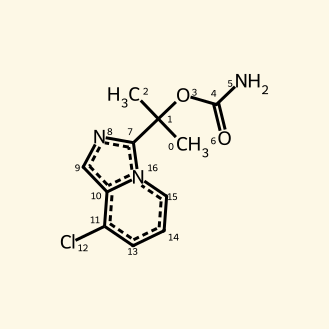 CC(C)(OC(N)=O)c1ncc2c(Cl)cccn12